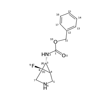 O=C(N[C@@H]1C2CNC[C@@]21F)OCc1ccccc1